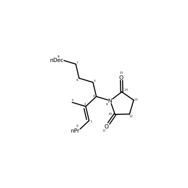 CCCC=C(C)C(CCCCCCCCCCCCC)N1C(=O)CCC1=O